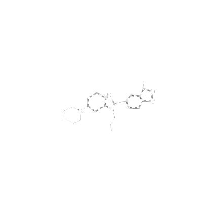 CCCn1c(-c2ccc3onc(C)c3c2)nc2ccc(N3CCOCC3)cc21